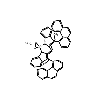 CCCCC1=C(c2cccc3ccc4ccccc4c23)c2ccccc2[CH]1[Zr+2]1([CH]2C(CCCC)=C(c3cccc4ccc5ccccc5c34)c3ccccc32)[CH2][CH2]1.[Cl-].[Cl-]